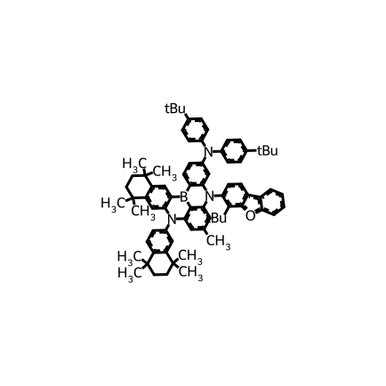 Cc1cc2c3c(c1)N(c1ccc4c(oc5ccccc54)c1C(C)(C)C)c1cc(N(c4ccc(C(C)(C)C)cc4)c4ccc(C(C)(C)C)cc4)ccc1B3c1cc3c(cc1N2c1ccc2c(c1)C(C)(C)CCC2(C)C)C(C)(C)CCC3(C)C